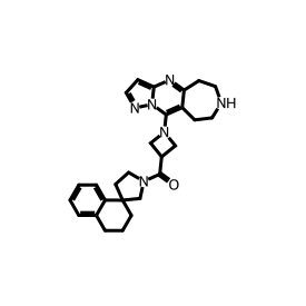 O=C(C1CN(c2c3c(nc4ccnn24)CCNCC3)C1)N1CCC2(CCCc3ccccc32)C1